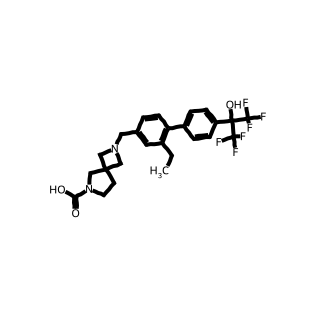 CCc1cc(CN2CC3(CCN(C(=O)O)C3)C2)ccc1-c1ccc(C(O)(C(F)(F)F)C(F)(F)F)cc1